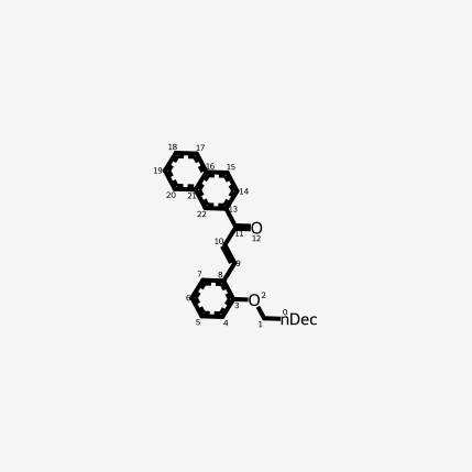 CCCCCCCCCCCOc1ccccc1C=CC(=O)c1ccc2ccccc2c1